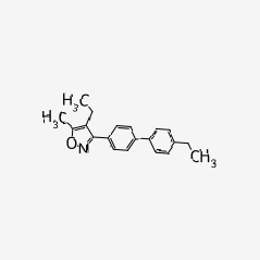 CCc1ccc(-c2ccc(-c3noc(C)c3CC)cc2)cc1